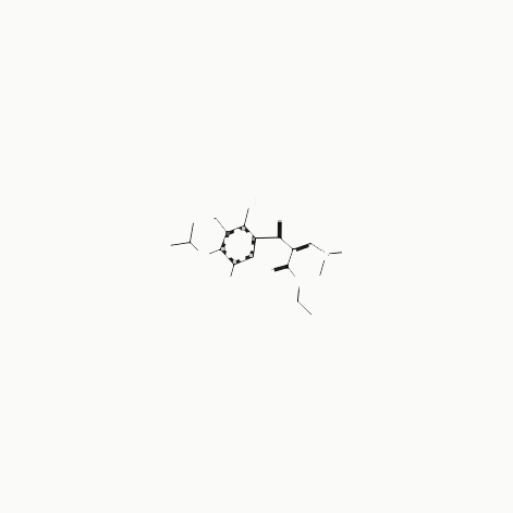 CCOC(=O)C(=CN(C)C)C(=O)c1cc(I)c(OC(C)C)c(I)c1Cl